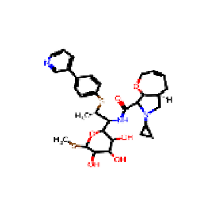 CSC1OC([C@H](NC(=O)C2C3OCC=CC[C@H]3CN2C2CC2)[C@H](C)Sc2ccc(-c3cccnc3)cc2)C(O)C(O)C1O